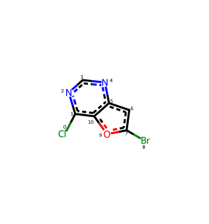 Clc1ncnc2cc(Br)oc12